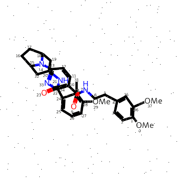 COc1ccc(CCNC(=O)c2ccc(N3C4CCC3CC(NC(=O)c3cccc(OC)c3C)C4)nc2)cc1OC